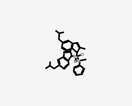 CC1=Cc2cc(CC(C)C)ccc2[CH]1[Zr]([Cl])([Cl])([CH]1C(C)=Cc2cc(CC(C)C)ccc21)[SiH](C)c1ccccc1